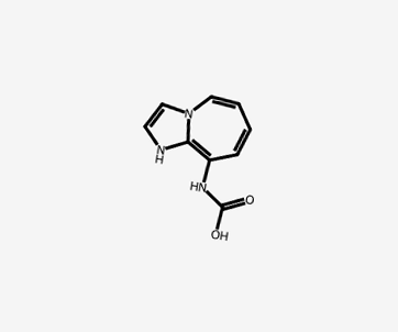 O=C(O)NC1=C2NC=CN2C=CC=C1